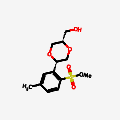 COS(=O)(=O)c1ccc(C)cc1[C@H]1CO[C@@H](CO)CO1